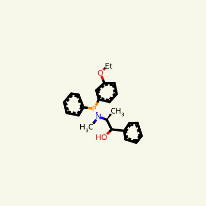 CCOc1cccc([P@](c2ccccc2)N(C)[C@@H](C)C(O)c2ccccc2)c1